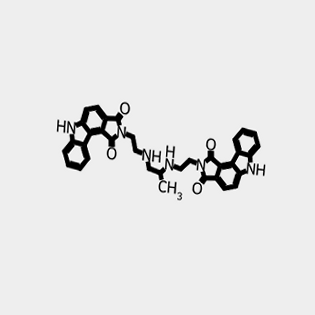 CC(CNCCN1C(=O)c2ccc3[nH]c4ccccc4c3c2C1=O)NCCN1C(=O)c2ccc3[nH]c4ccccc4c3c2C1=O